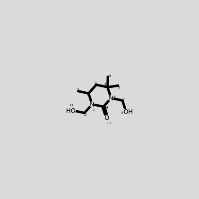 CC1CC(C)(C)N(CO)C(=O)N1CO